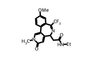 CCNC(=O)CC1N=C(C(F)(F)F)c2cc(OC)ccc2-c2cn(C)c(=O)cc21